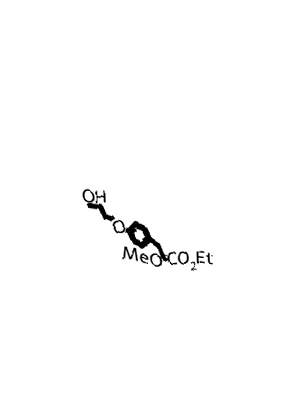 CCOC(=O)[C@H](Cc1ccc(OCCCCO)cc1)OC